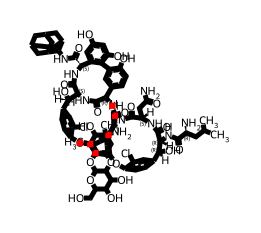 CC(C)C[C@@H](N)C(=O)N[C@H]1C(=O)N[C@@H](CC(N)=O)C(=O)N[C@H]2C(=O)N[C@H]3C(=O)N[C@H](C(=O)N[C@H](C(=O)NC4C5CC6CC(C5)CC4C6)c4cc(O)cc(O)c4-c4cc3ccc4O)[C@H](O)c3ccc(c(Cl)c3)Oc3cc2cc(c3OC2OC(CO)C(O)C(O)C2OC2CC(C)(N)C(O)C(C)O2)Oc2ccc(cc2Cl)[C@H]1O